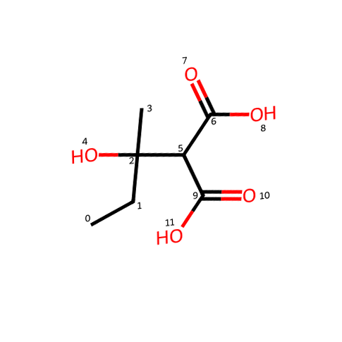 CCC(C)(O)C(C(=O)O)C(=O)O